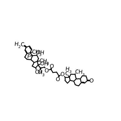 C=C1C=CC2(C)C(=C1)CCC1C3CC(C)C(O)(C(=O)COC(=O)CCC(=O)OC4CCC5C6CCC7=CC(=O)CCC7C6C(C)CC45C)C3(C)CC(O)C12F